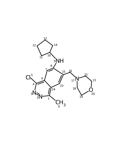 Cc1nnc(Cl)c2cc(NC3CCCC3)c(CN3CCOCC3)cc12